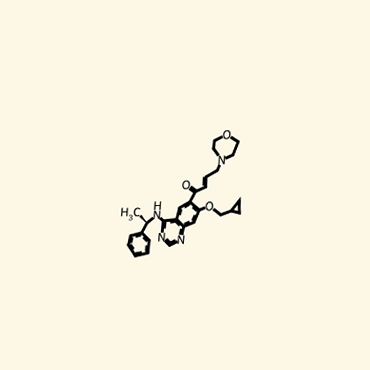 C[C@@H](Nc1ncnc2cc(OCC3CC3)c(C(=O)C=CCN3CCOCC3)cc12)c1ccccc1